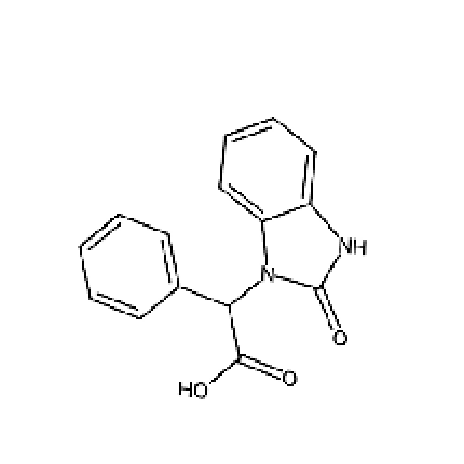 O=C(O)C(c1ccccc1)n1c(=O)[nH]c2ccccc21